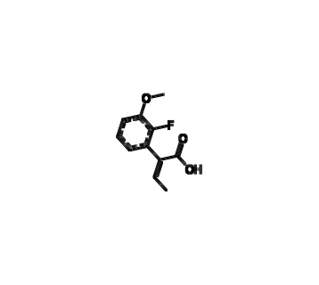 C/C=C(\C(=O)O)c1cccc(OC)c1F